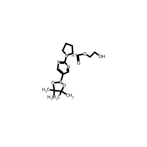 CC1(C)OB(c2cnc(N3CCC[C@@H]3C(=O)OCCO)nc2)OC1(C)C